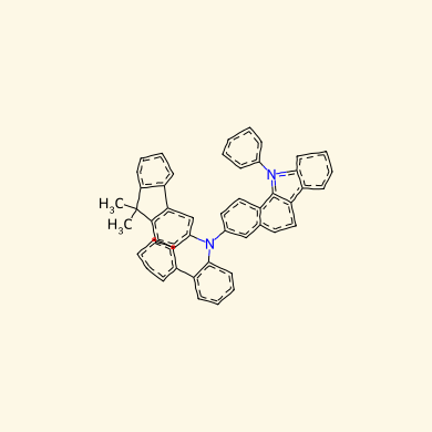 CC1(C)c2ccccc2-c2cc(N(c3ccc4c(ccc5c6ccccc6n(-c6ccccc6)c45)c3)c3ccccc3-c3ccccc3)ccc21